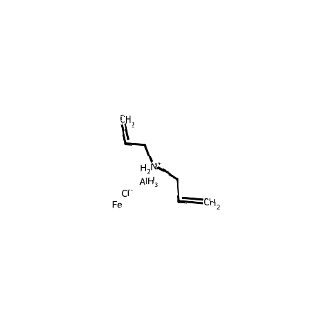 C=CC[NH2+]CC=C.[AlH3].[Cl-].[Fe]